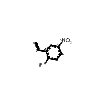 C=Cc1cc([N+](=O)[O-])ccc1C(C)C